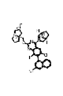 Fc1c(-c2cc(Cl)cc3ccccc23)c(Cl)cc2c(N3C[C@H]4CC[C@@H](C3)N4)nc(OC[C@@]34CCCN3C[C@H](F)C4)nc12